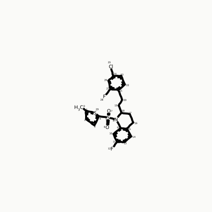 Cc1ccc(S(=O)(=O)N2c3cc(F)ccc3CCC2CCc2ccc(Cl)cc2F)s1